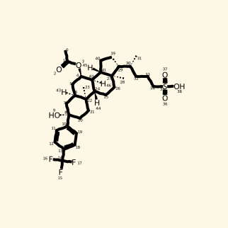 CC(=O)O[C@@H]1C[C@@H]2C[C@](O)(c3ccc(C(F)(F)F)cc3)CC[C@]2(C)[C@H]2CC[C@]3(C)[C@@H]([C@H](C)CCCS(=O)(=O)O)CC[C@H]3[C@H]12